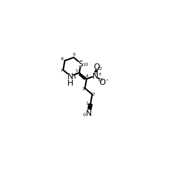 N#CCC/C(=C1\NCCCS1)[N+](=O)[O-]